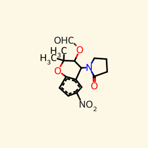 CC1(C)Oc2ccc([N+](=O)[O-])cc2C(N2CCCC2=O)C1OC=O